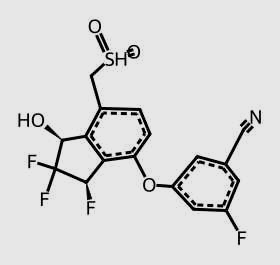 N#Cc1cc(F)cc(Oc2ccc(C[SH](=O)=O)c3c2[C@@H](F)C(F)(F)[C@H]3O)c1